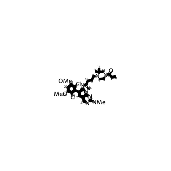 C=CC(=O)N1CCN(CCCc2nc3c(-c4c(Cl)c(OC)cc(OC)c4Cl)cc4cnc(NC)nc4n3n2)C(C)(C)C1